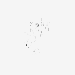 C[C@@H]1CN2c3c(cc4c(-c5ccco5)noc4c3F)CC3(C(=O)NC(=O)NC3=O)[C@H]2[C@H](C)O1